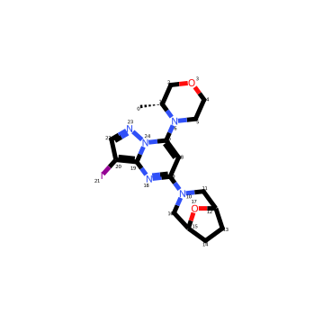 C[C@@H]1COCCN1c1cc(N2CC3CCC(C2)O3)nc2c(I)cnn12